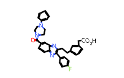 O=C(O)Cc1cccc(CCc2nc3cc(C(=O)N4CCN(c5ccccc5)CC4)ccc3nc2-c2ccc(F)cc2)c1